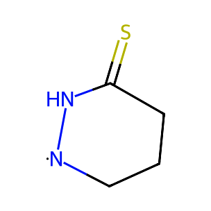 S=C1CCC[N]N1